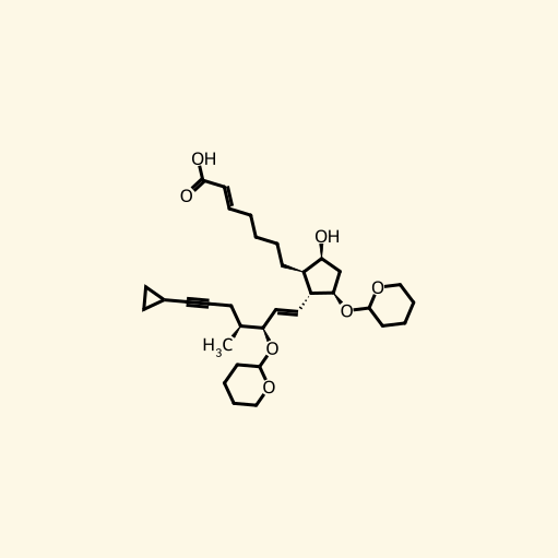 C[C@@H](CC#CC1CC1)[C@@H](/C=C/[C@@H]1[C@@H](CCCC/C=C/C(=O)O)[C@@H](O)C[C@H]1OC1CCCCO1)OC1CCCCO1